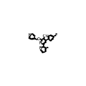 Cc1cccnc1-c1cc(-c2ccc(F)cc2)c(C#N)c(OCc2ccncc2)n1